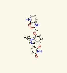 Cn1nc(C2CCC(=O)NC2=O)c2cccc(OCC(=O)NC3CCCNC3=O)c21